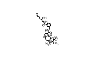 C=C(N[C@H]1CCCC[C@H]2CC[C@@H](C(=O)NCc3cccc(C(=O)NC[C@@H](O)CCC=O)c3)N2C1=O)[C@H](C)NC